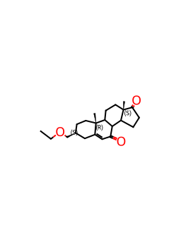 CCOC[C@H]1CC[C@@]2(C)C(=CC(=O)C3C2CC[C@]2(C)C(=O)CCC32)C1